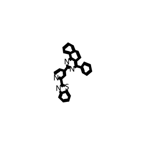 c1ccc(-c2nc(-c3ccnc(-c4nc5ccccc5s4)c3)nc3c2ccc2ccccc23)cc1